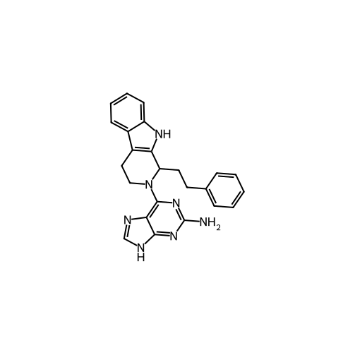 Nc1nc(N2CCc3c([nH]c4ccccc34)C2CCc2ccccc2)c2nc[nH]c2n1